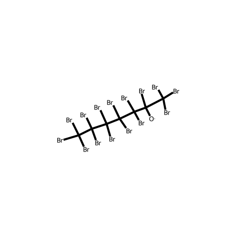 [O]C(Br)(C(Br)(Br)Br)C(Br)(Br)C(Br)(Br)C(Br)(Br)C(Br)(Br)C(Br)(Br)Br